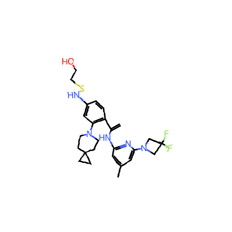 C=C(Nc1cc(C)cc(N2CC(F)(F)C2)n1)c1ccc(NSCCO)cc1N1CCC2(CC1)CC2